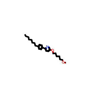 CCCCCCCCc1ccc(-c2ccc(OCCCCCCOC)cn2)cc1